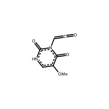 COc1c[nH]c(=O)n(C=C=O)c1=O